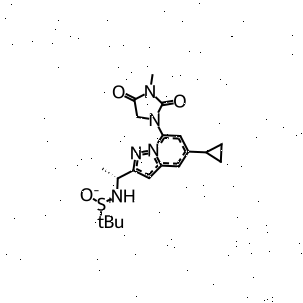 C[C@@H](N[S+]([O-])C(C)(C)C)c1cc2cc(C3CC3)cc(N3CC(=O)N(C)C3=O)n2n1